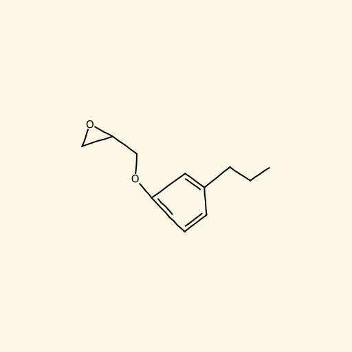 CCCc1cccc(OCC2CO2)c1